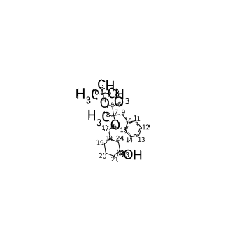 CC(C)(C)OC(=O)C(C)(Cc1ccccc1)OCC1CCC[C@H](O)C1